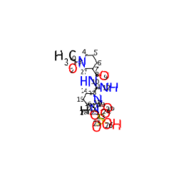 CC(=O)N1CCCC(C(=O)NC(=N)[C@@H]2CC[C@@H]3CN2C(=O)N3OS(=O)(=O)O)C1